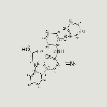 N#CC(=Cc1cn(CC(=O)O)c2ccccc12)C(=O)Nc1ccccc1Oc1ccccc1